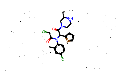 Cc1cc(Cl)ccc1N(C(=O)CCl)C(C(=O)N1CCNC(C(C)C)C1)c1cccs1